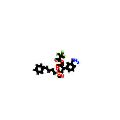 Nc1cccc(C(CP(=O)(O)CCCCc2ccccc2)C(=O)OC(=O)C(F)(F)F)c1